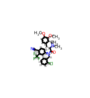 COc1ccc(C[C@@H](C(=O)N(Cc2ccccc2Cl)c2ccc(C#N)c(C(F)(F)F)c2)N(C)C)cc1OC